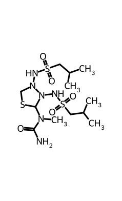 CC(C)CS(=O)(=O)NN1CSC(N(C)C(N)=O)N1NS(=O)(=O)CC(C)C